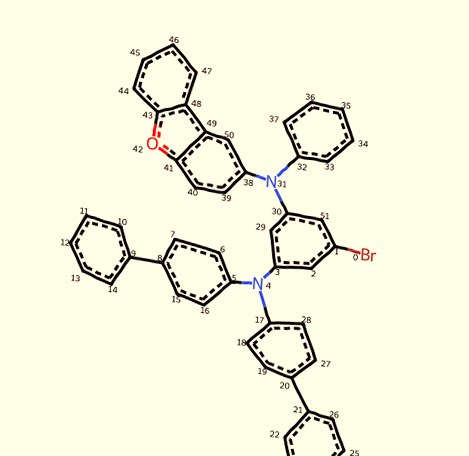 Brc1cc(N(c2ccc(-c3ccccc3)cc2)c2ccc(-c3ccccc3)cc2)cc(N(c2ccccc2)c2ccc3oc4ccccc4c3c2)c1